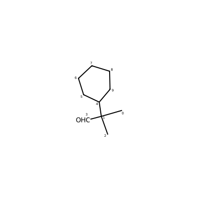 CC(C)(C=O)C1CCCCC1